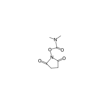 CN(C)C(=O)ON1C(=O)CCC1=O